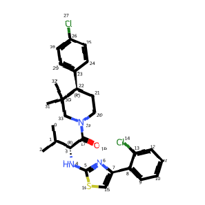 CC(C)[C@@H](Nc1nc(-c2ccccc2Cl)cs1)C(=O)N1CC[C@H](c2ccc(Cl)cc2)C(C)(C)C1